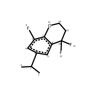 CC(C)c1cc(F)c2c(c1)C(F)(F)CCO2